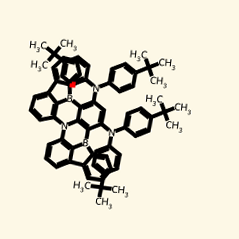 CC(C)(C)c1ccc(N(c2ccc(C(C)(C)C)cc2)c2cc(N(c3ccc(C(C)(C)C)cc3)c3ccc(C(C)(C)C)cc3)c3c4c2B2c5ccccc5-c5cccc(c52)N4c2cccc4c2B3c2ccccc2-4)cc1